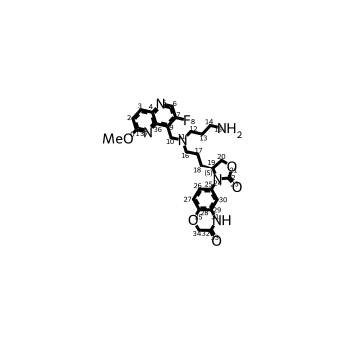 COc1ccc2ncc(F)c(CN(CCCN)CCC[C@H]3COC(=O)N3c3ccc4c(c3)NC(=O)CO4)c2n1